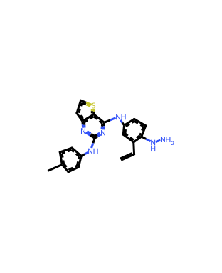 C=Cc1cc(Nc2nc(Nc3ccc(C)cc3)nc3ccsc23)ccc1NN